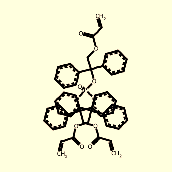 C=CC(=O)OCC(OP(=O)(OC(COC(=O)C=C)(c1ccccc1)c1ccccc1)OC(COC(=O)C=C)(c1ccccc1)c1ccccc1)(c1ccccc1)c1ccccc1